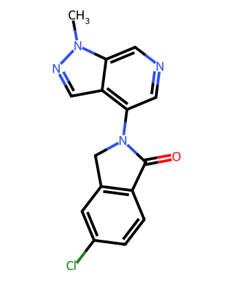 Cn1ncc2c(N3Cc4cc(Cl)ccc4C3=O)cncc21